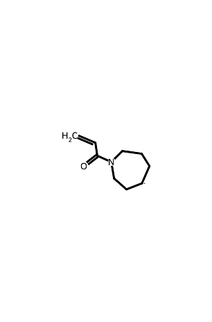 C=CC(=O)N1CC[CH]CCC1